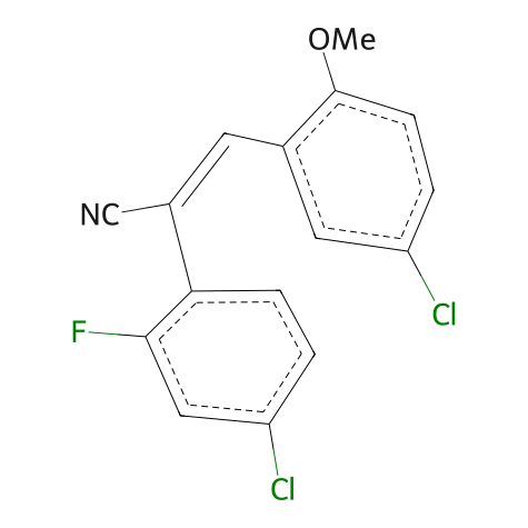 COc1ccc(Cl)cc1C=C(C#N)c1ccc(Cl)cc1F